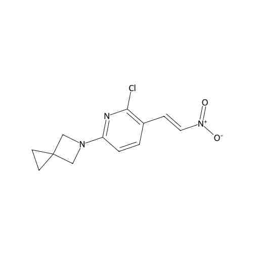 O=[N+]([O-])/C=C/c1ccc(N2CC3(CC3)C2)nc1Cl